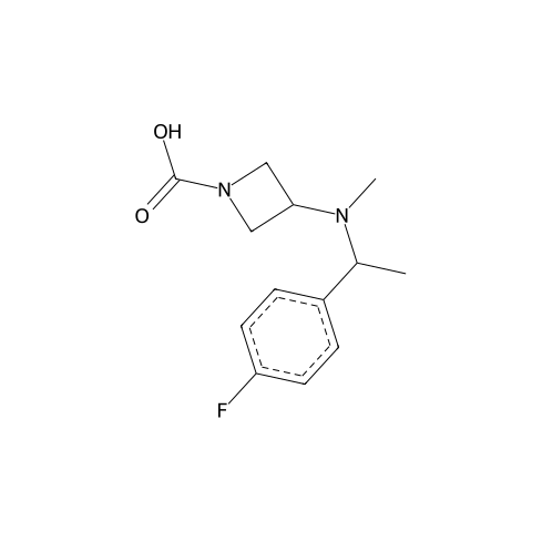 CC(c1ccc(F)cc1)N(C)C1CN(C(=O)O)C1